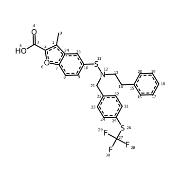 Cc1c(C(=O)O)oc2ccc(SN(CCc3ccccc3)Cc3ccc(SC(F)(F)F)cc3)cc12